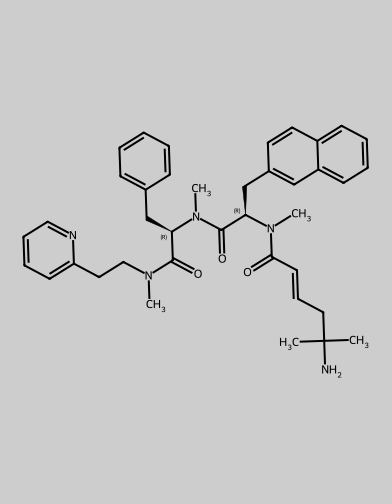 CN(CCc1ccccn1)C(=O)[C@@H](Cc1ccccc1)N(C)C(=O)[C@@H](Cc1ccc2ccccc2c1)N(C)C(=O)C=CCC(C)(C)N